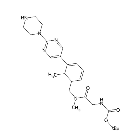 CC1C(c2cnc(N3CCNCC3)nc2)=CC=CC1CN(C)C(=O)CNC(=O)OC(C)(C)C